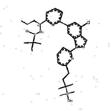 CCC[C@H](N[S+]([O-])C(C)(C)C)c1cccc(-c2cc(Cl)c3cnn(-c4cccc(CCC(C)(C)[Si](C)(C)O)n4)c3c2)n1